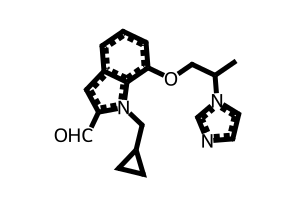 CC(COc1cccc2cc(C=O)n(CC3CC3)c12)n1ccnc1